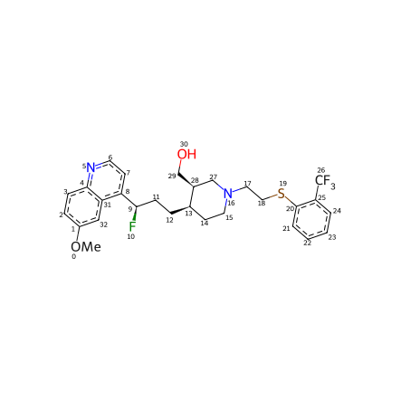 COc1ccc2nccc([C@H](F)CC[C@@H]3CCN(CCSc4ccccc4C(F)(F)F)C[C@@H]3CO)c2c1